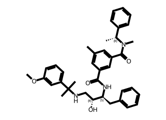 COc1cccc(C(C)(C)NC[C@@H](O)[C@H](Cc2ccccc2)NC(=O)c2cc(C)cc(C(=O)N(C)[C@H](C)c3ccccc3)c2)c1